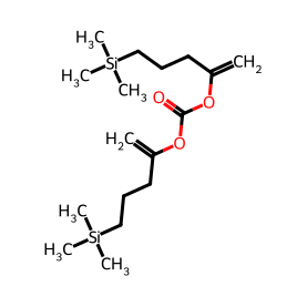 C=C(CCC[Si](C)(C)C)OC(=O)OC(=C)CCC[Si](C)(C)C